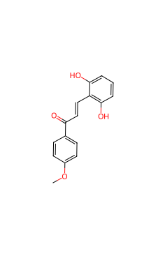 COc1ccc(C(=O)C=Cc2c(O)cccc2O)cc1